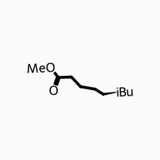 CC[C@H](C)CCCCC(=O)OC